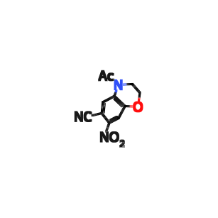 CC(=O)N1CCOc2cc([N+](=O)[O-])c(C#N)cc21